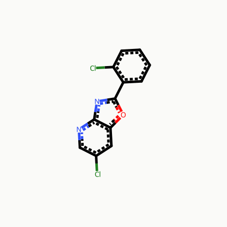 Clc1cnc2nc(-c3ccccc3Cl)oc2c1